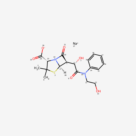 CC1(C)S[C@@H]2[C@H]([C@H](O)C(=O)N(CCO)c3ccccc3)C(=O)N2[C@H]1C(=O)[O-].[Na+]